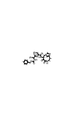 CC(C)CC(NC(=O)C(NC(=O)OCc1ccccc1)C(C)C)C(=O)NC1Cn2cnc(c2)CCNC(=O)C1=O